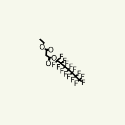 CCOC(=O)CC(=O)OC(F)(F)C(F)(F)C(F)(F)C(F)(F)C(F)(F)C(F)(F)C(F)(F)F